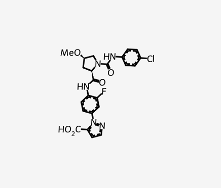 CO[C@@H]1C[C@H](C(=O)Nc2ccc(-n3nccc3C(=O)O)cc2F)N(C(=O)Nc2ccc(Cl)cc2)C1